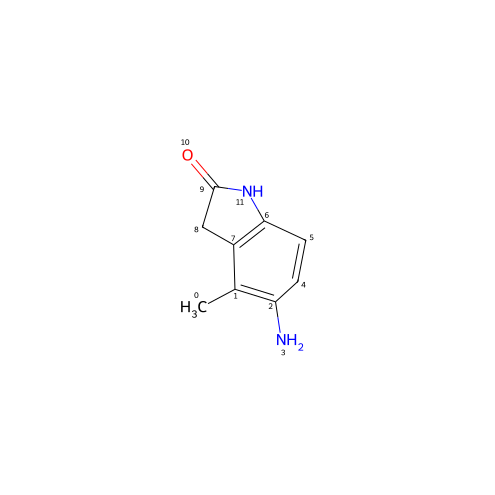 Cc1c(N)ccc2c1CC(=O)N2